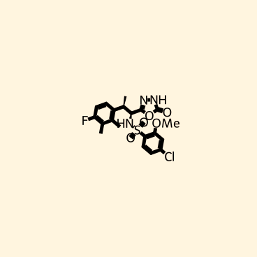 COc1cc(Cl)ccc1S(=O)(=O)N[C@H](c1n[nH]c(=O)o1)[C@H](C)c1ccc(F)c(C)c1C